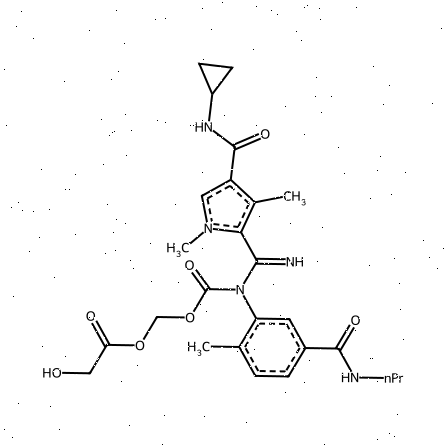 CCCNC(=O)c1ccc(C)c(N(C(=N)c2c(C)c(C(=O)NC3CC3)cn2C)C(=O)OCOC(=O)CO)c1